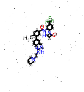 Cc1ccc(C(=O)Nc2cc(C(F)(F)F)ccc2N2CCC2=O)cc1-c1ccc2nc(NCCN3CCCCC3)ncc2c1